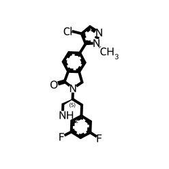 Cn1ncc(Cl)c1-c1ccc2c(c1)CN([C@H](CN)Cc1cc(F)cc(F)c1)C2=O